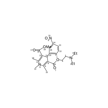 CCN(CC)CCOC(=O)C1=C(C)N(C)C(C)=C(C(=O)OC)C1c1cccc([N+](=O)[O-])c1